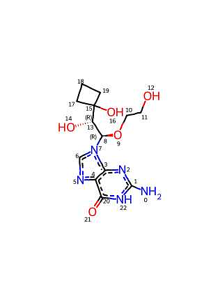 Nc1nc2c(ncn2[C@H](OCCO)[C@H](O)C2(O)CCC2)c(=O)[nH]1